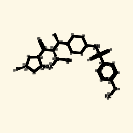 C[C@@H](C1CCC(NS(=O)(=O)c2ccc(OC(F)(F)F)cc2)CC1)[C@@H](C(=O)N1CC[C@H](F)C1)N(C(=O)O)C(C)(C)C